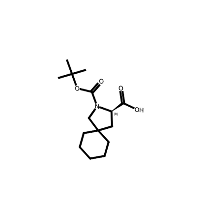 CC(C)(C)OC(=O)N1CC2(CCCCC2)C[C@@H]1C(=O)O